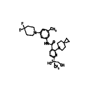 Cc1cc(NC(=O)c2ccc([C@@](C)(O)CO)nc2N2CCC3(CC2)CC3)cc(N2CCC(F)(F)CC2)c1